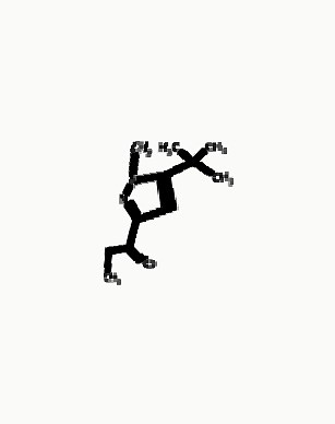 CCC(=O)c1cc(C(C)(C)C)n(C)n1